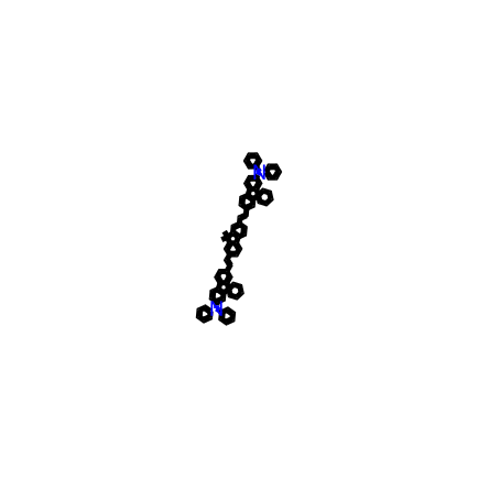 CC1(C)c2cc(/C=C/c3ccc4c(c3)C3(CCCCC3)c3cc(N(c5ccccc5)c5ccccc5)ccc3-4)ccc2-c2ccc(/C=C/C3C=C4C(=CC3)c3ccc(N(c5ccccc5)c5ccccc5)cc3C43CCCCC3)cc21